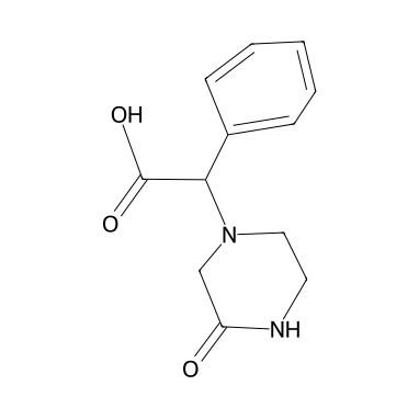 O=C1CN(C(C(=O)O)c2ccccc2)CCN1